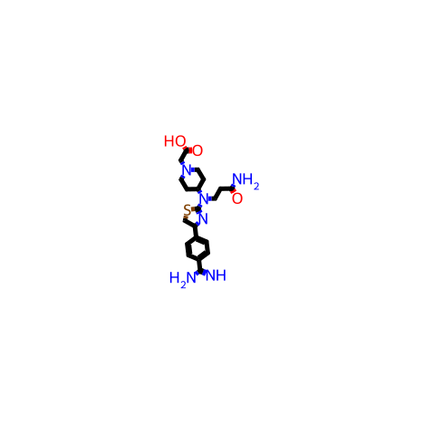 N=C(N)c1ccc(C2CSC(N(CCC(N)=O)C3CCN(CC(=O)O)CC3)=N2)cc1